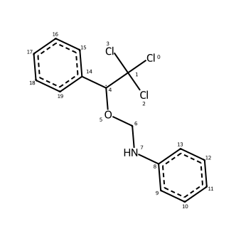 ClC(Cl)(Cl)[C](OCNc1ccccc1)c1ccccc1